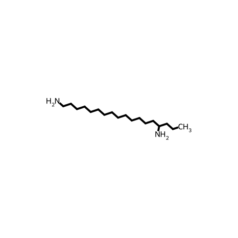 CCCC(N)CCCCCCCCCCCCCCN